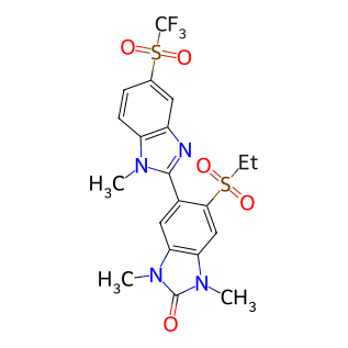 CCS(=O)(=O)c1cc2c(cc1-c1nc3cc(S(=O)(=O)C(F)(F)F)ccc3n1C)n(C)c(=O)n2C